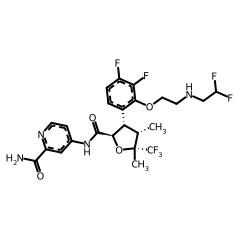 C[C@H]1[C@@H](c2ccc(F)c(F)c2OCCNCC(F)F)[C@H](C(=O)Nc2ccnc(C(N)=O)c2)O[C@@]1(C)C(F)(F)F